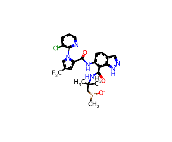 C[S+]([O-])CC(C)(C)NC(=O)c1c(NC(=O)c2cc(C(F)(F)F)cn2-c2ncccc2Cl)ccc2cn[nH]c12